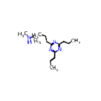 CCCc1nc(CCC)nc(CCC)n1.CNC